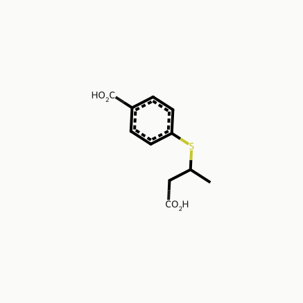 CC(CC(=O)O)Sc1ccc(C(=O)O)cc1